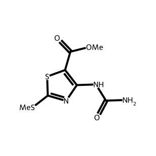 COC(=O)c1sc(SC)nc1NC(N)=O